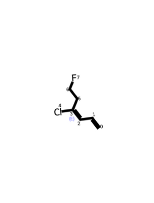 C=C/C=C(/Cl)CCF